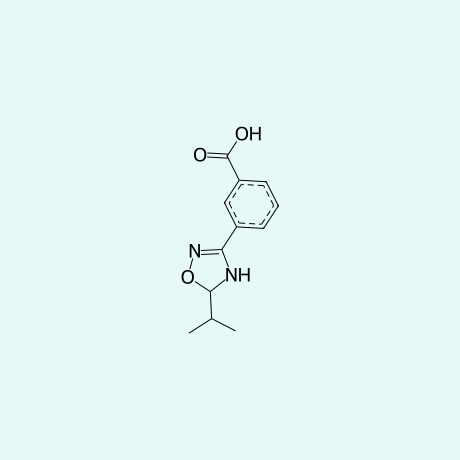 CC(C)C1NC(c2cccc(C(=O)O)c2)=NO1